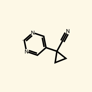 N#CC1(c2cn[c]nc2)CC1